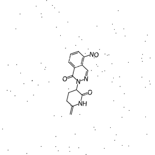 C=C1CCC(n2ncc3c(N=O)cccc3c2=O)C(=O)N1